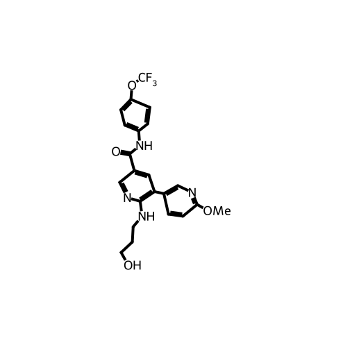 COc1ccc(-c2cc(C(=O)Nc3ccc(OC(F)(F)F)cc3)cnc2NCCCO)cn1